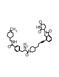 CN1CCC(CNC(=O)c2ccc(C[C@H](N)C(=O)N3CCC(CCC#Cc4cccc5c4CN(C4CCC(=O)NC4=O)C5=O)CC3)cc2)CC1